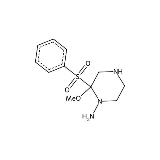 COC1(S(=O)(=O)c2ccccc2)CNCCN1N